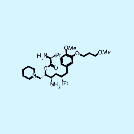 COCCCOc1cc(C[C@@H](C[C@H](N)[C@H](CN2CCCCC2)OC(=O)[C@@H](N)C(C)C)C(C)C)ccc1OC